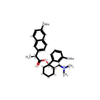 COc1cccc([C@@]2(OC(=O)[C@@H](C)c3ccc4cc(OC)ccc4c3)CCCC[C@@H]2CN(C)C)c1